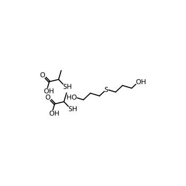 CC(S)C(=O)O.CC(S)C(=O)O.OCCCSCCCO